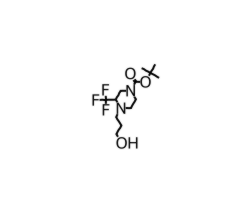 CC(C)(C)OC(=O)N1CCN(CCCO)C(C(F)(F)F)C1